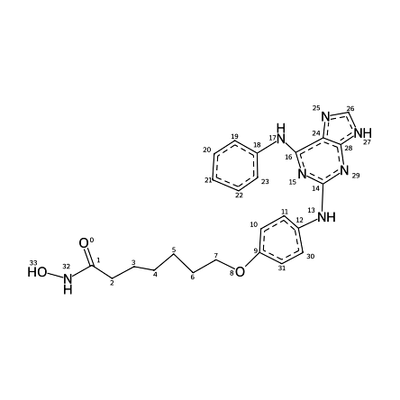 O=C(CCCCCCOc1ccc(Nc2nc(Nc3ccccc3)c3nc[nH]c3n2)cc1)NO